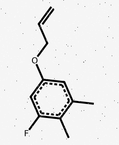 C=CCOc1cc(C)c(C)c(F)c1